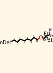 CCCCCCCCCCCCCCCCCCOCC(CC)(CC)CI